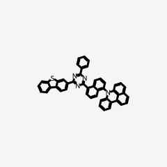 c1ccc(-c2nc(-c3ccc4c(c3)sc3ccccc34)nc(-c3cccc4c(N5c6ccccc6-c6cccc7cccc5c67)cccc34)n2)cc1